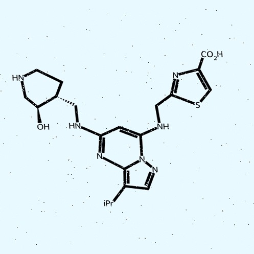 CC(C)c1cnn2c(NCc3nc(C(=O)O)cs3)cc(NC[C@H]3CCNC[C@@H]3O)nc12